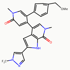 COCc1ccc(-c2cn(C)c(=O)cc2-c2cn(C)c(=O)c3[nH]c(-c4cnn(C(F)(F)F)c4)cc23)cc1